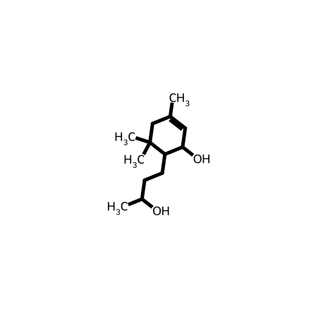 CC1=CC(O)C(CCC(C)O)C(C)(C)C1